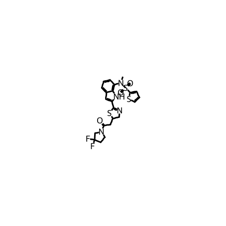 CN(c1cccc2cc(C3=NCC(CC(=O)N4CCC(F)(F)C4)S3)[nH]c12)S(=O)(=O)c1cccs1